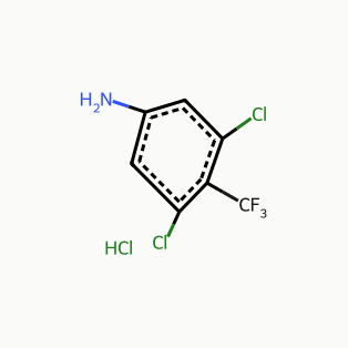 Cl.Nc1cc(Cl)c(C(F)(F)F)c(Cl)c1